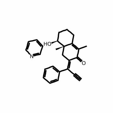 C#CC(=C1C[C@@]2(C)C(=C(C)C1=O)CCC[C@@H]2O)c1ccccc1.c1ccncc1